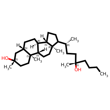 CCCC[C@](C)(O)CC[C@@H](C)C1CC[C@H]2[C@@H]3CC[C@H]4C[C@@](C)(O)CC[C@]4(C)[C@H]3CC[C@]12C